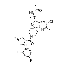 C=C1CC(C(=O)N2CCC3(CC2)OC(C(C)(C)NC(C)=O)c2cc(Cl)c(C)nc23)[C@H](c2ccc(F)cc2F)C1